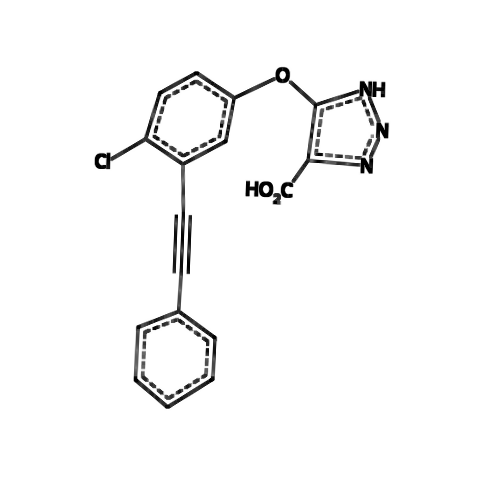 O=C(O)c1nn[nH]c1Oc1ccc(Cl)c(C#Cc2ccccc2)c1